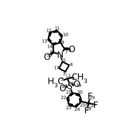 CC(C)([C@H]1C[C@H](N2C(=O)c3ccccc3C2=O)C1)S(=O)(=O)c1cccc(C(F)(F)F)c1